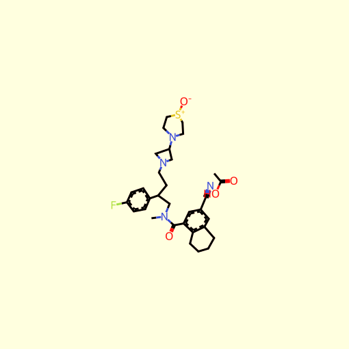 CC(=O)O.CN(CC(CCN1CC(N2CC[S+]([O-])CC2)C1)c1ccc(F)cc1)C(=O)c1cc(C#N)cc2c1CCCC2